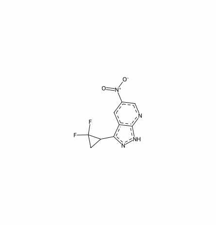 O=[N+]([O-])c1cnc2[nH]nc(C3CC3(F)F)c2c1